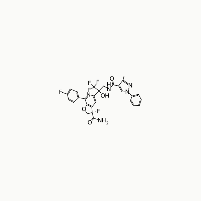 Cc1nn(-c2ccccc2)cc1C(=O)NC[C@](O)(c1cc2c(c(-c3ccc(F)cc3)n1)OC[C@]2(F)C(N)=O)C(F)(F)F